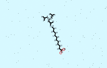 CC(C)[CH2][Sn+]([CH2]C(C)C)[CH2]C(C)C.CCCCCCCCCCCC(=O)[O-]